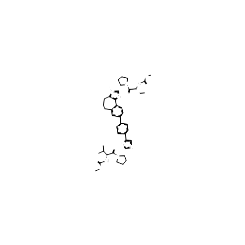 CC[C@H](NC(=O)OC)C(=O)N1CCC[C@H]1c1nc2c(n1O)CCCc1cc(-c3ccc(-c4cnc([C@@H]5CCCN5C(=O)[C@@H](NC(=O)OC)C(C)C)[nH]4)cc3)ccc1-2